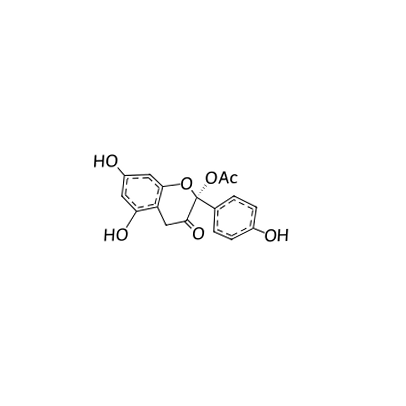 CC(=O)O[C@@]1(c2ccc(O)cc2)Oc2cc(O)cc(O)c2CC1=O